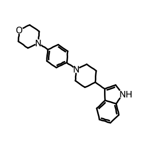 c1ccc2c(C3CCN(c4ccc(N5CCOCC5)cc4)CC3)c[nH]c2c1